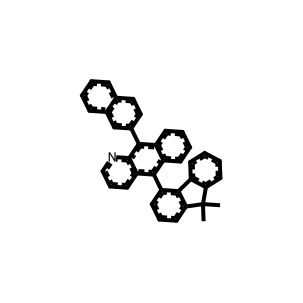 CC1(C)c2ccccc2-c2c(-c3c4ccccc4c(-c4ccc5ccccc5c4)c4ncccc34)cccc21